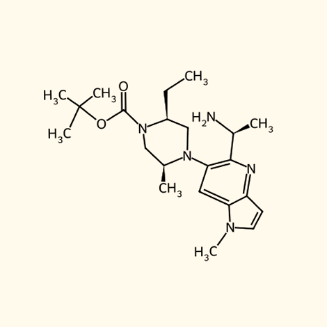 CC[C@H]1CN(c2cc3c(ccn3C)nc2[C@H](C)N)[C@@H](C)CN1C(=O)OC(C)(C)C